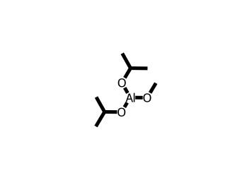 C[O][Al]([O]C(C)C)[O]C(C)C